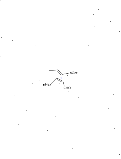 CC=CCCCCCCCC.CCCCCC/C=C\C=O